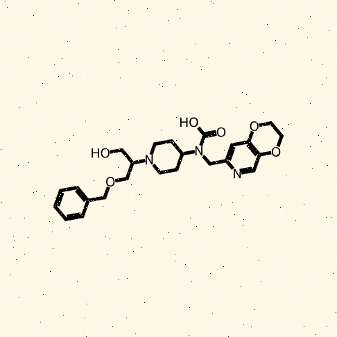 O=C(O)N(Cc1cc2c(cn1)OCCO2)C1CCN(C(CO)COCc2ccccc2)CC1